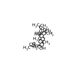 CC(C)=CC(=O)OC[C@]1(C)C2CC[C@@]3(C)C4C[C@@H](O)[C@]5(CO)C(CC(C)(C)[C@@H](O)[C@@H]5OC(=O)C=C(C)C)C4=CCC3[C@@]2(C)CC[C@@H]1O